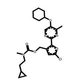 Cc1nc(-c2sc(Cl)cc2COC(=O)N(C)CCC2CC2)ncc1OC1CCCCC1